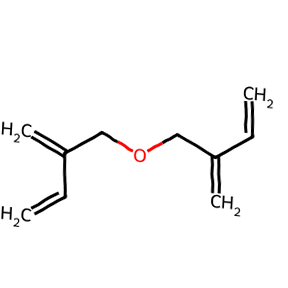 C=CC(=C)COCC(=C)C=C